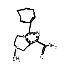 CN1CCn2c(C3=CCCCC3)nc(C(N)=O)c2C1